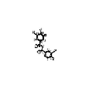 Cc1ccc(C(=O)CC(=O)c2ccc(C)c(C)c2)cc1C